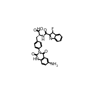 Nc1ccc2[nH]c(=O)n(-c3ccc(C[C@H](NC(=O)C4=Nc5ccccc5C4F)C(=O)O)cc3)c(=O)c2c1